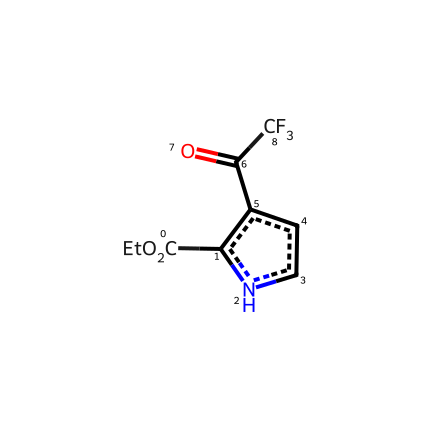 CCOC(=O)c1[nH]ccc1C(=O)C(F)(F)F